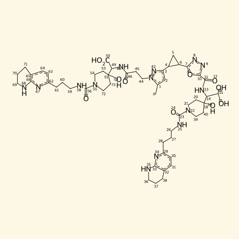 Cc1cc(C2CC2c2nnc(C(=O)NC(C(O)O)C3(O)CCN(C(=O)NCCCc4ccc5c(n4)NCCC5)CC3)o2)nn1CCC(=O)NC(C(=O)O)C1(O)CCN(C(=O)NCCCc2ccc3c(n2)NCCC3)CC1